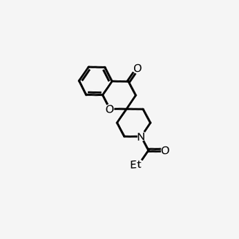 CCC(=O)N1CCC2(CC1)CC(=O)c1ccccc1O2